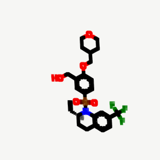 C=C[C@H]1CCc2ccc(C(F)(F)F)cc2N1S(=O)(=O)c1ccc(OCC2CCOCC2)c(CO)c1